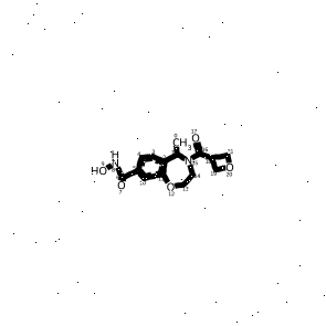 CC1c2ccc(C(=O)NO)cc2OCCN1C(=O)C1COC1